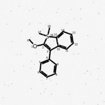 COC1=C(c2ccccc2)c2ccccc2S1(C)C